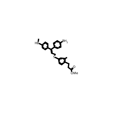 Bc1ccc(/C(=C\CSc2ccc(CCC(=O)OC)c(C)c2)c2ccc(BC)cc2)cc1